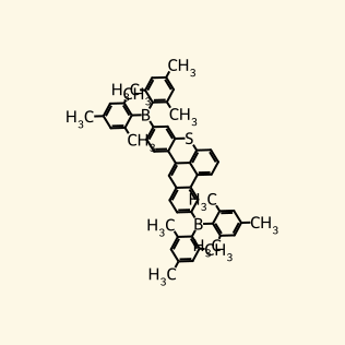 Cc1cc(C)c(B(c2ccc3c(c2)Sc2cccc4c2c-3cc2ccc(B(c3c(C)cc(C)cc3C)c3c(C)cc(C)cc3C)cc24)c2c(C)cc(C)cc2C)c(C)c1